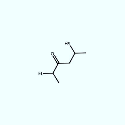 CCC(C)C(=O)CC(C)S